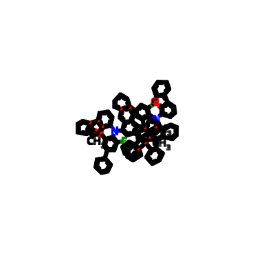 Cc1ccccc1-c1cc(-c2ccccc2)cc(F)c1N(c1cc2c(c3ccccc13)-c1ccccc1C2(c1ccccc1)C1(c2ccccc2)c2ccccc2-c2c1cc(N(c1c(F)cc(-c3ccccc3)cc1-c1cccc(C)c1C)c1cccc3c1oc1ccccc13)c1ccccc21)c1cccc2c1oc1ccccc12